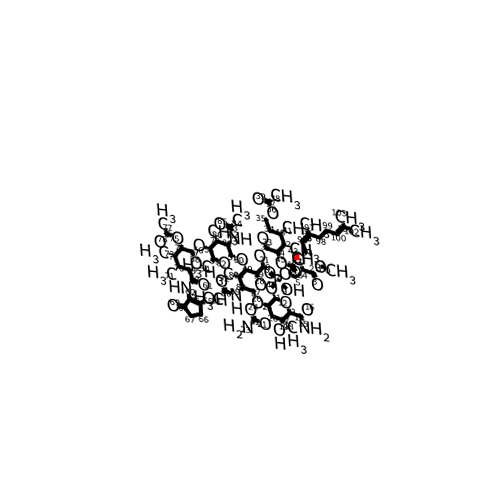 COC(=O)[C@@H](COP(=O)(O)O[C@H]1OC(C(N)=O)[C@@](C)(O)[C@H](OC(N)=O)C1O[C@@H]1OC(CO[C@@H]2OC(COC(C)=O)[C@@H](C)[C@H](C)C2OC(C)=O)[C@@H](O[C@@H]2OC(C)[C@@H](O[C@@H]3OC(C(=O)NC4=C(O)CCC4=O)[C@H](C)[C@H](C)C3OC(C)=O)[C@H](C)C2NC(C)=O)[C@H](C)C1NC(C)=O)OC/C=C(/C)CCC=C(C)C